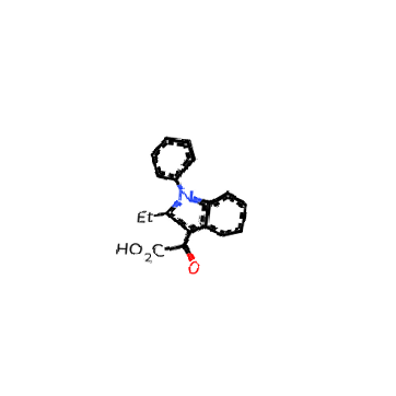 CCc1c(C(=O)C(=O)O)c2ccccc2n1-c1ccccc1